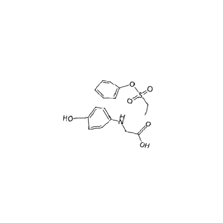 CCS(=O)(=O)Oc1ccccc1.O=C(O)CNc1ccc(O)cc1